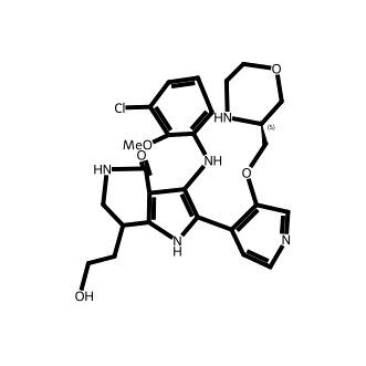 COc1c(Cl)cccc1Nc1c(-c2ccncc2OC[C@@H]2COCCN2)[nH]c2c1C(=O)NCC2CCO